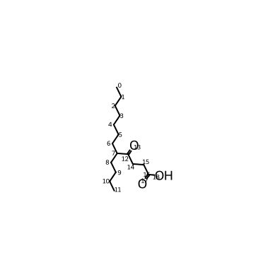 CCCCCCCC(CCCC)C(=O)CCC(=O)O